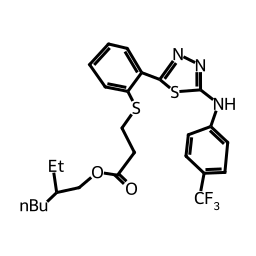 CCCCC(CC)COC(=O)CCSc1ccccc1-c1nnc(Nc2ccc(C(F)(F)F)cc2)s1